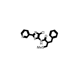 CSCC(Cc1ccccc1)C(=O)Nc1sc(-c2cccnc2)nc1Cl